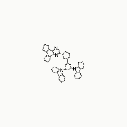 c1cc(-c2cc(-n3c4ccccc4c4ccccc43)cc(-n3c4ccccc4c4ccccc43)c2)cc(-c2cnc3c4ccccc4c4ccccc4c3n2)c1